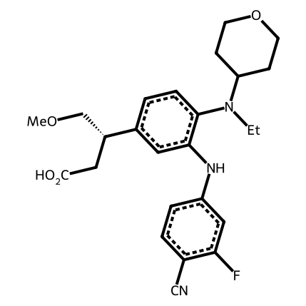 CCN(c1ccc([C@@H](COC)CC(=O)O)cc1Nc1ccc(C#N)c(F)c1)C1CCOCC1